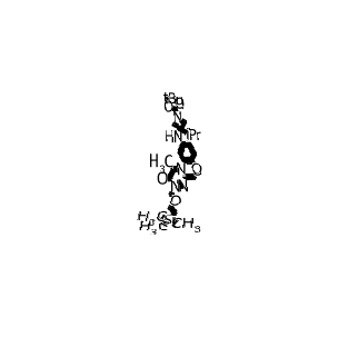 CC1C(=O)N(COCC[Si](C)(C)C)N=C2COc3ccc(NC4(C(C)C)CN(C(=O)OC(C)(C)C)C4)cc3N21